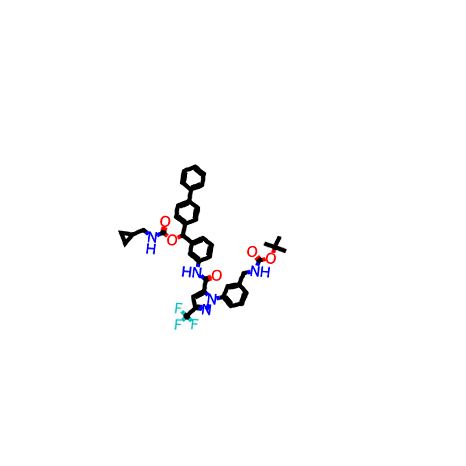 CC(C)(C)OC(=O)NCc1cccc(-n2nc(C(F)(F)F)cc2C(=O)Nc2cccc(C(OC(=O)NCC3CC3)c3ccc(-c4ccccc4)cc3)c2)c1